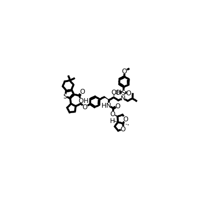 COc1ccc(S(=O)(=O)N(CC(C)C)C[C@@H](O)[C@H](Cc2ccc(OCC3CCCC3c3sc4c(c3C(=O)O)CC(C)(C)CC4)cc2)NC(=O)O[C@H]2CO[C@@]3(C)OCC[C@@H]23)cc1